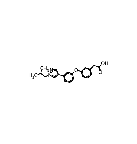 CC(C)Cn1cc(-c2cccc(Oc3cccc(CC(=O)O)c3)c2)cn1